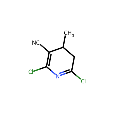 CC1CC(Cl)=NC(Cl)=C1C#N